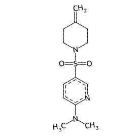 C=C1CCN(S(=O)(=O)c2ccc(N(C)C)nc2)CC1